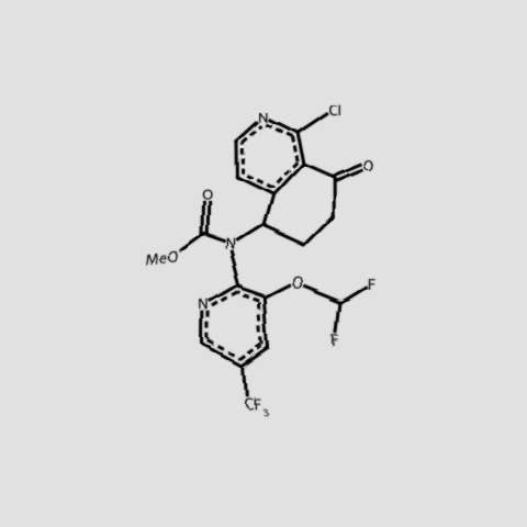 COC(=O)N(c1ncc(C(F)(F)F)cc1OC(F)F)C1CCC(=O)c2c1ccnc2Cl